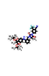 CC(C)(C)OC(=O)C(C)(C(=O)OC(C)(C)C)c1ccc(Nc2ccccc2CN2C(=O)N(c3ccc(C#N)c(C(F)(F)F)c3)C(=O)C2(C)C)cc1